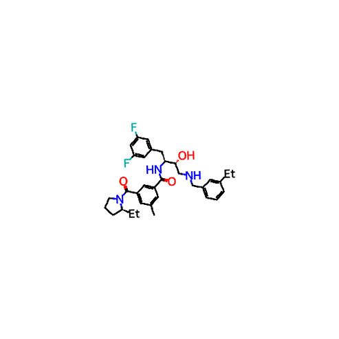 CCc1cccc(CNC[C@@H](O)[C@H](Cc2cc(F)cc(F)c2)NC(=O)c2cc(C)cc(C(=O)N3CCC[C@@H]3CC)c2)c1